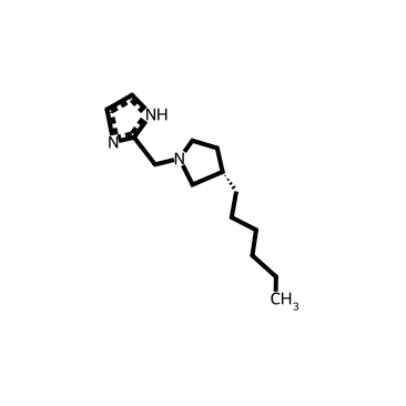 CCCCCC[C@H]1CCN(Cc2ncc[nH]2)C1